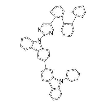 c1ccc(-c2ccccc2-c2ccccc2-c2cnc(-n3c4ccccc4c4cc(-c5ccc6c7ccccc7n(-c7ccccc7)c6c5)ccc43)nc2)cc1